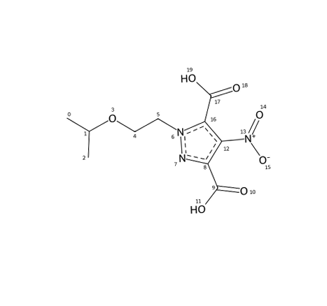 CC(C)OCCn1nc(C(=O)O)c([N+](=O)[O-])c1C(=O)O